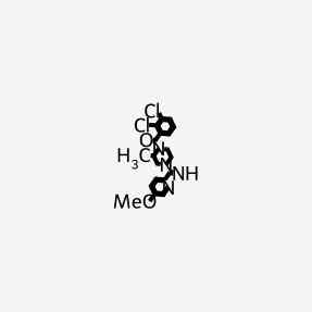 COc1ccc(C(=N)N2CCN(C(=O)c3cccc(Cl)c3Cl)C(C)C2)nc1